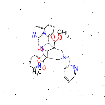 COC(=O)C12CN(Cc3ccccn3)CC(C(=O)OC)(C(c3ccccn3)N(Cc3ccccn3)C1c1ccccn1)C2O